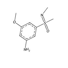 CN=S(C)(=O)c1cc(N)cc(OC)c1